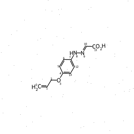 C=CCOc1ccc(NN=CC(=O)O)cc1